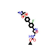 CN1CC(C)(S(=O)(=O)c2ccc(-c3ccc(C4=NO[C@@H](CNC(=O)OC5CC5)C4)cc3F)cc2)C1